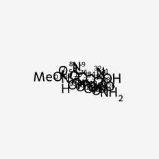 COC(=O)Nc1cc(N(C)C)c2c(c1O)C(=O)C1=C(O)[C@]3(O)C(=O)C(C(N)=O)=C(O)[C@@H](N(C)C)C3CC1C2